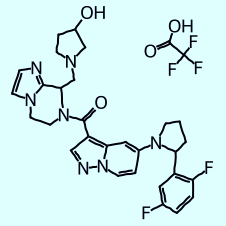 O=C(O)C(F)(F)F.O=C(c1cnn2ccc(N3CCCC3c3cc(F)ccc3F)cc12)N1CCn2ccnc2C1CN1CCC(O)C1